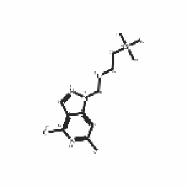 Cc1cc2c(cnn2COCC[Si](C)(C)C)c(Cl)n1